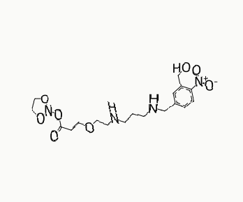 O=C(CCOCCNCCCNCc1ccc([N+](=O)[O-])c(CO)c1)ON1OCCO1